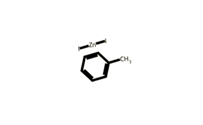 Cc1ccccc1.[I][Zn][I]